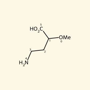 COC(CCN)C(=O)O